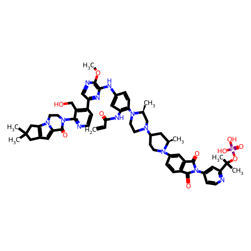 C=CC(=O)Nc1cc(Nc2nc(-c3ccnc(N4CCn5c(cc6c5CC(C)(C)C6)C4=O)c3CO)cnc2OC)ccc1N1CCN(C2CCN(c3ccc4c(c3)C(=O)N(c3ccnc(C(C)(C)OP(=O)(O)O)c3)C4=O)[C@H](C)C2)C[C@@H]1C